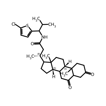 CC(C)C(NC(=O)C[C@@H](C)C1CC[C@H]2C3CC(=O)C4CC(=O)CCC4(C)[C@H]3CCC12C)c1ccc(Cl)s1